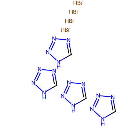 Br.Br.Br.Br.c1nnn[nH]1.c1nnn[nH]1.c1nnn[nH]1.c1nnn[nH]1